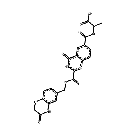 C[C@@H](NC(=O)c1ccc2nc(C(=O)NCc3ccc4c(c3)NC(=O)CO4)[nH]c(=O)c2c1)C(=O)O